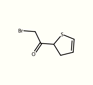 O=C(CBr)C1CC=CS1